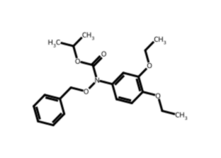 CCOc1ccc(N(OCc2ccccc2)C(=O)OC(C)C)cc1OCC